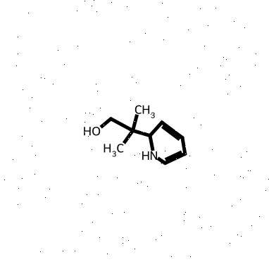 CC(C)(CO)C1C=CC=[C]N1